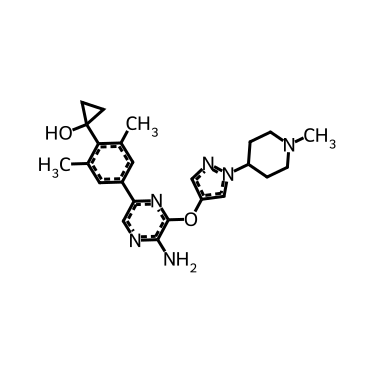 Cc1cc(-c2cnc(N)c(Oc3cnn(C4CCN(C)CC4)c3)n2)cc(C)c1C1(O)CC1